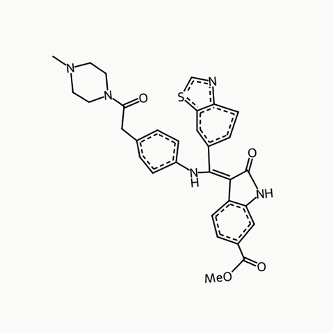 COC(=O)c1ccc2c(c1)NC(=O)C2=C(Nc1ccc(CC(=O)N2CCN(C)CC2)cc1)c1ccc2ncsc2c1